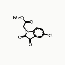 COC(=O)CN1C(=O)C(=O)c2cc(Cl)ccc21